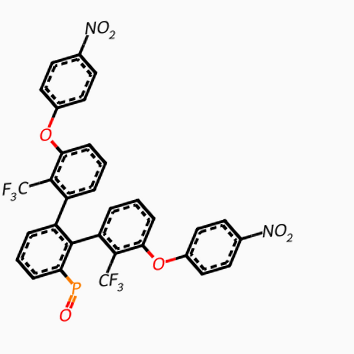 O=Pc1cccc(-c2cccc(Oc3ccc([N+](=O)[O-])cc3)c2C(F)(F)F)c1-c1cccc(Oc2ccc([N+](=O)[O-])cc2)c1C(F)(F)F